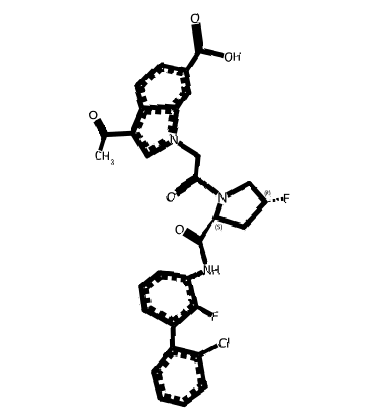 CC(=O)c1cn(CC(=O)N2C[C@H](F)C[C@H]2C(=O)Nc2cccc(-c3ccccc3Cl)c2F)c2cc(C(=O)O)ccc12